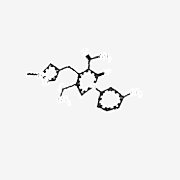 Cn1cc(Cc2c(C(N)=O)cn(-c3cccc(C(F)(F)F)c3)c(=O)c2C(N)=O)cn1